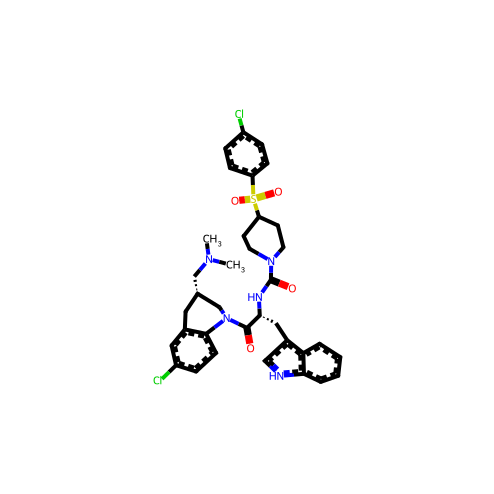 CN(C)C[C@H]1Cc2cc(Cl)ccc2N(C(=O)[C@@H](Cc2c[nH]c3ccccc23)NC(=O)N2CCC(S(=O)(=O)c3ccc(Cl)cc3)CC2)C1